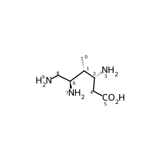 C[C@H]([C@H](N)CC(=O)O)[C@@H](N)CN